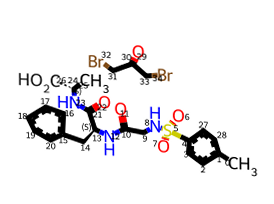 Cc1ccc(S(=O)(=O)NCC(=O)N[C@@H](Cc2ccccc2)C(=O)N[C@@H](C)C(=O)O)cc1.O=C(CBr)CBr